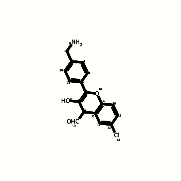 NCc1ccc(C2=C(O)C(C=O)c3cc(Cl)ccc3O2)cc1